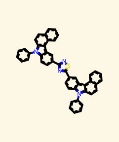 c1ccc(-n2c3ccc(-c4nsc(-c5ccc6c(c5)c5c7ccccc7ccc5n6-c5ccccc5)n4)cc3c3c4ccccc4ccc32)cc1